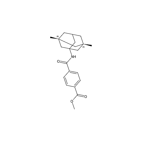 COC(=O)c1ccc(C(=O)NC23CC4C[C@@](C)(C2)C[C@](C)(C4)C3)cc1